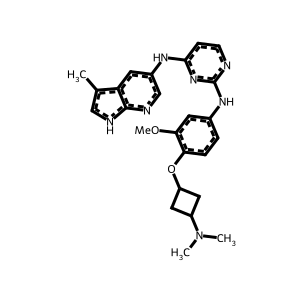 COc1cc(Nc2nccc(Nc3cnc4[nH]cc(C)c4c3)n2)ccc1OC1CC(N(C)C)C1